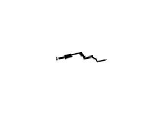 [CH2]CCC=CC#CF